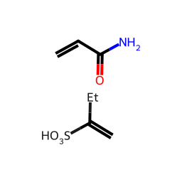 C=C(CC)S(=O)(=O)O.C=CC(N)=O